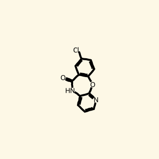 O=C1Nc2cccnc2Oc2ccc(Cl)cc21